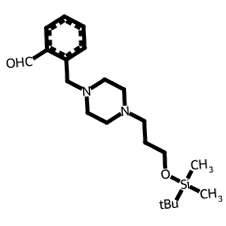 CC(C)(C)[Si](C)(C)OCCCN1CCN(Cc2ccccc2C=O)CC1